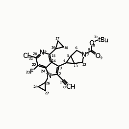 C#Cc1c(C2C3CN(C(=O)OC(C)(C)C)CC32)c2c(C3CC3)nc(Cl)c(F)c2n1C1CC1